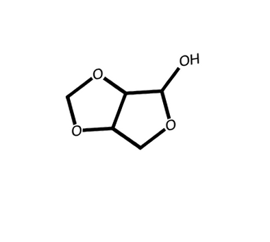 OC1OCC2OCOC12